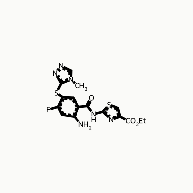 CCOC(=O)c1csc(NC(=O)c2cc(Sc3nncn3C)c(F)cc2N)n1